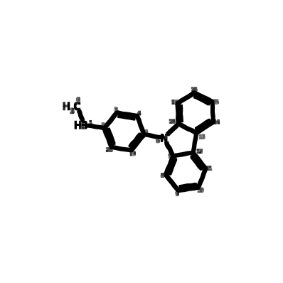 CBc1ccc(-n2c3ccccc3c3ccccc32)cc1